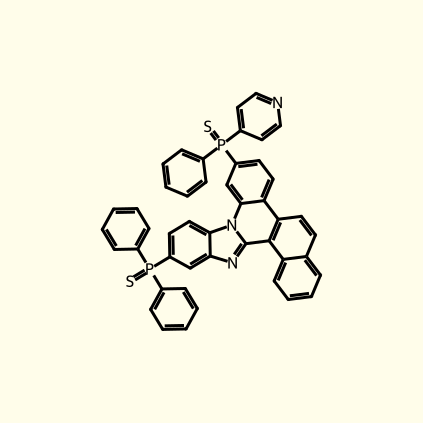 S=P(c1ccccc1)(c1ccccc1)c1ccc2c(c1)nc1c3c4ccccc4ccc3c3ccc(P(=S)(c4ccccc4)c4ccncc4)cc3n21